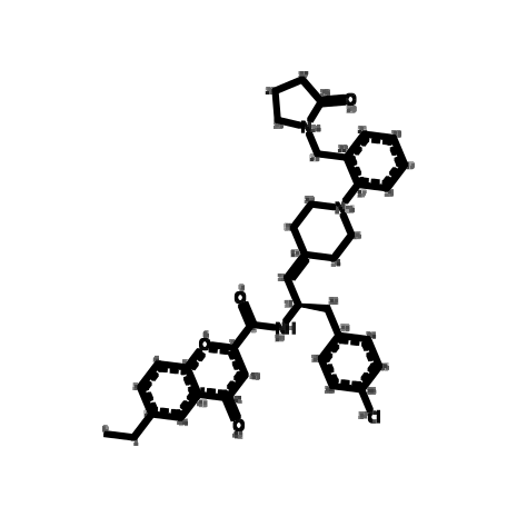 CCc1ccc2oc(C(=O)N[C@@H](C=C3CCN(c4ccccc4CN4CCCC4=O)CC3)Cc3ccc(Cl)cc3)cc(=O)c2c1